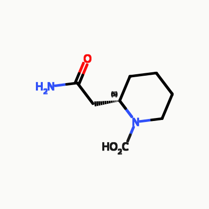 NC(=O)C[C@@H]1CCCCN1C(=O)O